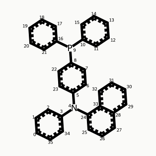 c1ccc(N(c2ccc(P(c3ccccc3)c3ccccc3)cc2)c2cccc3ccccc23)cc1